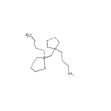 CCCC[N+]1(C[N+]2(CCCC)CCCC2)CCCC1